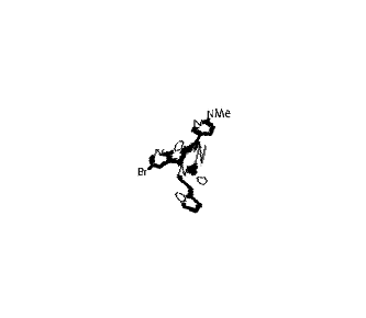 CNc1ccc(-c2nc(=O)n(CCC3CCCO3)c3c2oc2ncc(Br)cc23)cn1